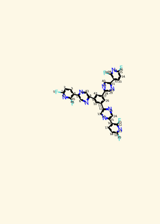 Fc1ccc(-c2cnc(-c3cc(-c4cnc(-c5ccc(F)nc5F)cn4)cc(-c4cnc(-c5ccc(F)nc5F)cn4)c3)cn2)c(F)n1